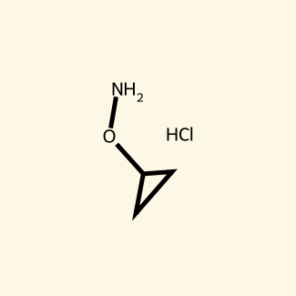 Cl.NOC1CC1